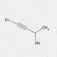 [CH2]CC#CC(C)CCC